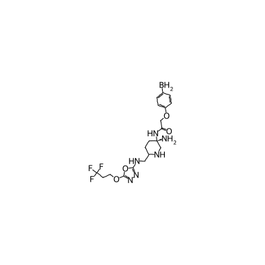 Bc1ccc(OCC(=O)N[C@@]2(N)CCC(CNc3nnc(OCCC(F)(F)F)o3)NC2)cc1